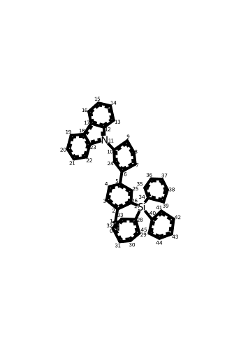 N#Cc1ccc(-c2cccc(-n3c4ccccc4c4ccccc43)c2)cc1[Si](c1ccccc1)(c1ccccc1)c1ccccc1